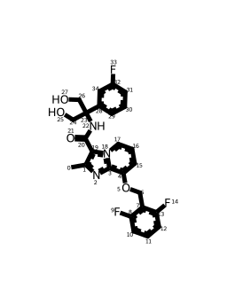 Cc1nc2c(OCc3c(F)cccc3F)cccn2c1C(=O)NC(CO)(CO)c1cccc(F)c1